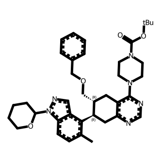 Cc1ccc2c(cnn2C2CCCCO2)c1[C@@H]1Cc2ncnc(N3CCN(C(=O)OC(C)(C)C)CC3)c2C[C@H]1COCc1ccccc1